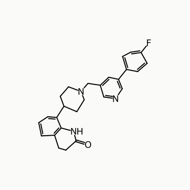 O=C1CCc2cccc(C3CCN(Cc4cncc(-c5ccc(F)cc5)c4)CC3)c2N1